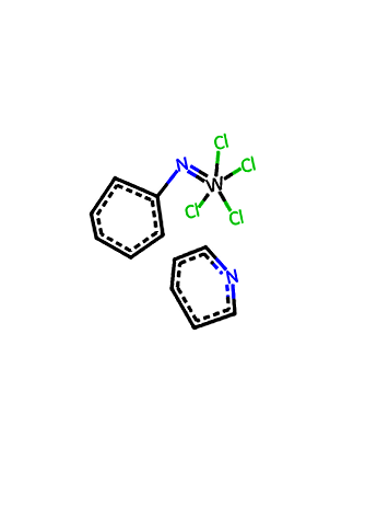 [Cl][W]([Cl])([Cl])([Cl])=[N]c1ccccc1.c1ccncc1